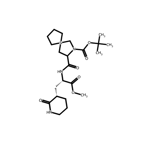 COC(=O)[C@H](C[C@@H]1CCCNC1=O)NC(=O)C1C[Si]2(CCCC2)CN1C(=O)OC(C)(C)C